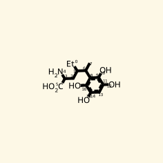 CCC(CC(N)C(=O)O)C(C)c1c(O)c(O)cc(O)c1O